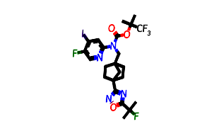 CC(C)(F)c1nc(C23CCC(CN(C(=O)OC(C)(C)C(F)(F)F)c4cc(I)c(F)cn4)(CC2)C3)no1